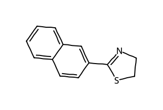 c1ccc2cc(C3=NCCS3)ccc2c1